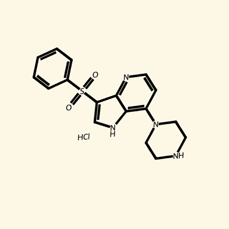 Cl.O=S(=O)(c1ccccc1)c1c[nH]c2c(N3CCNCC3)ccnc12